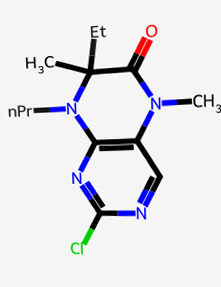 CCCN1c2nc(Cl)ncc2N(C)C(=O)C1(C)CC